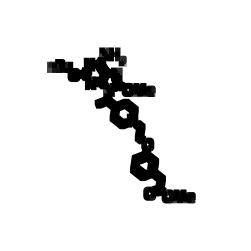 CCCCOc1nc(N)c2nc(OC)n(C(C)C3CCN(CCOc4cccc(CC(=O)OC)c4)CC3)c2n1